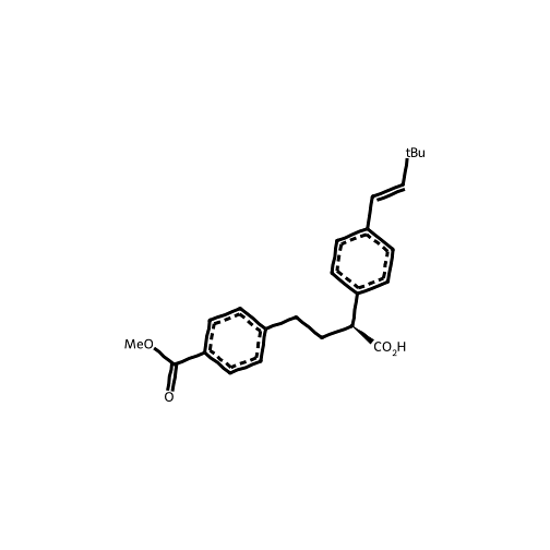 COC(=O)c1ccc(CC[C@H](C(=O)O)c2ccc(/C=C/C(C)(C)C)cc2)cc1